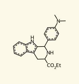 CCOC(=O)C1Cc2c([nH]c3ccccc23)C(c2ccc(N(C)C)cc2)N1